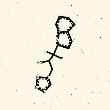 OC(Cn1cnnn1)C(F)(F)c1ccc2ccccc2n1